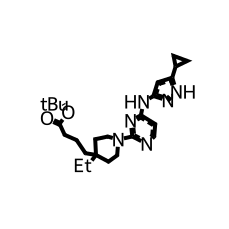 CCC1(CCCC(=O)OC(C)(C)C)CCN(c2nccc(Nc3cc(C4CC4)[nH]n3)n2)CC1